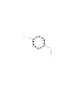 [CH2]CCNc1ccc(C#N)cc1